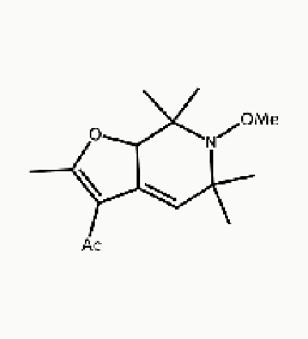 CON1C(C)(C)C=C2C(C(C)=O)=C(C)OC2C1(C)C